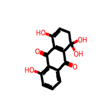 O=C1C2=C(C(=O)c3c(O)cccc31)C(O)=CCC2(O)O